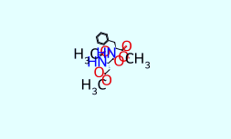 COC(=O)C[C@H](NC(C)=O)C(=O)N[C@@H](Cc1ccccc1)C(=O)OC